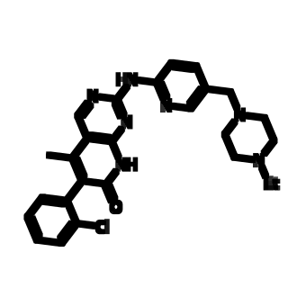 CCN1CCN(Cc2ccc(Nc3ncc4c(C)c(-c5ccccc5Cl)c(=O)[nH]c4n3)nc2)CC1